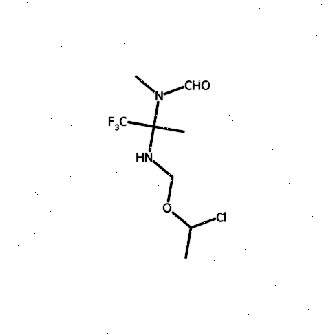 CC(Cl)OCNC(C)(N(C)C=O)C(F)(F)F